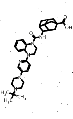 CC(C)(C)N1CCN(c2ccc(N3CCN(C(=O)NC4C5CC6CC4CC(C(=O)O)(C6)C5)c4ccccc43)nc2)CC1